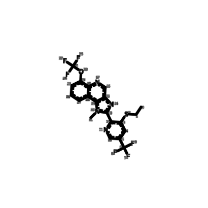 CCSc1cc(C(F)(F)F)cnc1-c1nc2cnc3c(OC(F)(F)F)cccc3c2n1C